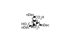 CCCCCCCCCCC(Sc1nc(SC(CCCCCCCCCC)C(=O)O)nc(SC(CCCCCCCCCC)C(=O)O)n1)C(=O)O